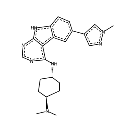 Cn1cc(-c2ccc3[nH]c4ncnc(N[C@H]5CC[C@H](N(C)C)CC5)c4c3c2)cn1